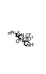 CCCc1cc2c(=O)n(CC3(OC(=O)C(F)(F)F)CCNCC3)cnc2s1